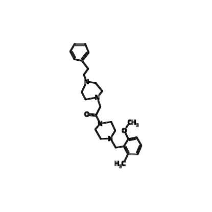 COc1cccc(C)c1CN1CCN(C(=O)CN2CCN(CCc3ccccc3)CC2)CC1